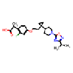 CC(C)c1noc(N2CCC(C3(CCOc4ccc(C(C)C(=O)O)c(F)c4)CC3)CC2)n1